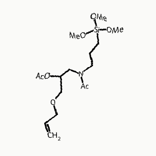 C=CCOCC(CN(CCC[Si](OC)(OC)OC)C(C)=O)OC(C)=O